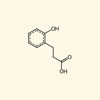 O=C(O)[CH]Cc1ccccc1O